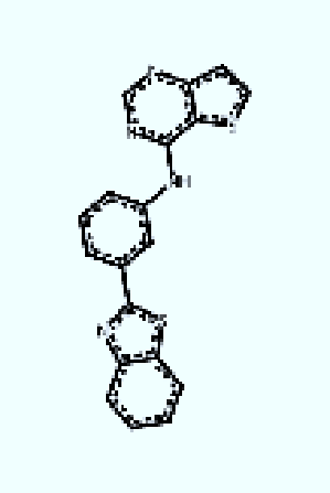 c1cc(Nc2ncnc3ccsc23)cc(-c2nc3ccccc3s2)c1